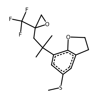 CSc1cc2c(c(C(C)(C)CC3(C(F)(F)F)CO3)c1)OCC2